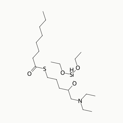 CCCCCCCC(=O)SCCCC(CN(CC)CC)O[SiH](OCC)OCC